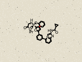 CC(C)OC(=O)[C@H](C)NP(=O)(Oc1ccccc1)c1ccc(-c2cccc(-c3cccc4nc(NC(=O)C5CC5)cn34)c2)o1